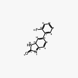 O=C1N=C2C=CC(c3c[c]ccc3F)=CC2N1